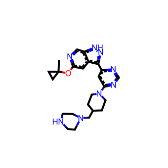 CC1(Oc2cc3c(-c4cc(N5CCC(CN6CCNCC6)CC5)ncn4)n[nH]c3cn2)CC1